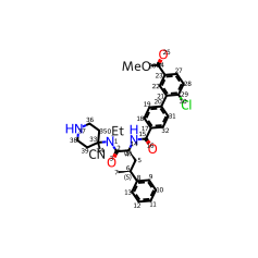 CCN(C(=O)[C@H](C[C@H](C)c1ccccc1)NC(=O)c1ccc(-c2cc(C(=O)OC)ccc2Cl)cc1)C1(C#N)CCNCC1